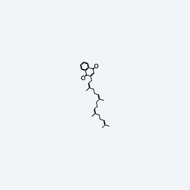 CC(C)=CCCC(C)=CCCC(C)=CCCC(C)=CCC1=CC(=O)c2ccccc2C1=O